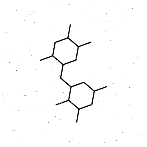 CC1CC(C)C(C)C(CC2CC(C)C(C)CC2C)C1